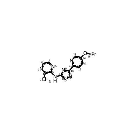 Cc1nccnc1Nc1nc(-c2ccc(OC(C)C)cn2)ns1